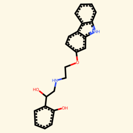 Oc1ccccc1C(O)CNCCOc1ccc2c(c1)[nH]c1ccccc12